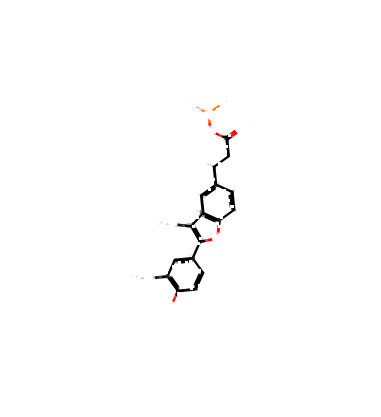 COc1cc(-c2oc3ccc(CCC(=O)OP(F)P)cc3c2SC)ccc1O